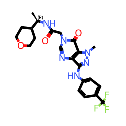 C[C@@H](NC(=O)Cn1cnc2c(Nc3ccc(C(F)(F)F)cc3)nn(C)c2c1=O)C1CCOCC1